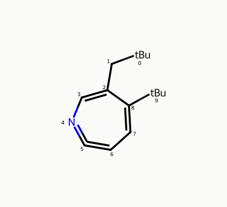 CC(C)(C)CC1=CN=C=CC=C1C(C)(C)C